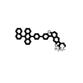 C/C=C\c1c(C)oc2cc3c(ccc4oc5cc(-c6ccc(-c7c8ccccc8c(-c8cccc9ccccc89)c8ccccc78)cc6)ccc5c43)cc12